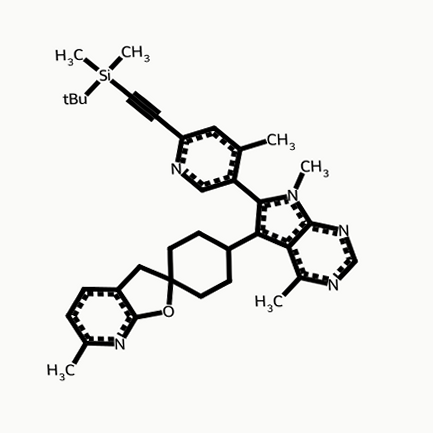 Cc1ccc2c(n1)OC1(CCC(c3c(-c4cnc(C#C[Si](C)(C)C(C)(C)C)cc4C)n(C)c4ncnc(C)c34)CC1)C2